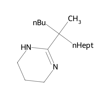 CCCCCCCC(C)(CCCC)C1=NCCCN1